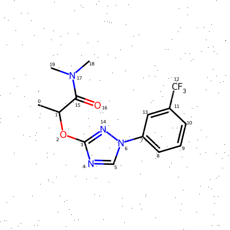 CC(Oc1ncn(-c2cccc(C(F)(F)F)c2)n1)C(=O)N(C)C